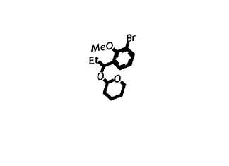 CCC(OC1CCCCO1)c1cccc(Br)c1OC